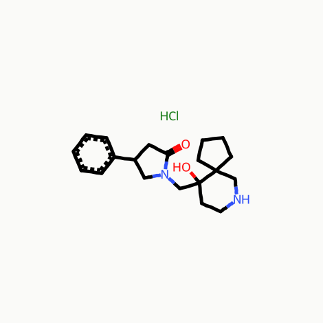 Cl.O=C1CC(c2ccccc2)CN1CC1(O)CCNCC12CCCC2